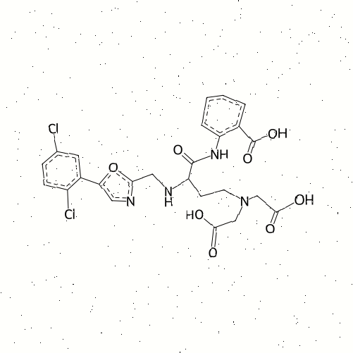 O=C(O)CN(CCC(NCc1ncc(-c2cc(Cl)ccc2Cl)o1)C(=O)Nc1ccccc1C(=O)O)CC(=O)O